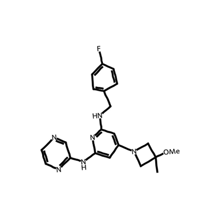 COC1(C)CN(c2cc(NCc3ccc(F)cc3)nc(Nc3cnccn3)c2)C1